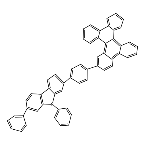 c1ccc(-c2ccc3c4ccc(-c5ccc(-c6ccc7c8ccccc8c8c9ccccc9c9ccccc9c8c7c6)cc5)cc4n(-c4ccccc4)c3c2)cc1